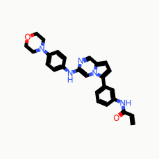 C=CC(=O)Nc1cccc(-c2ccc3cnc(Nc4ccc(N5CCOCC5)cc4)cn23)c1